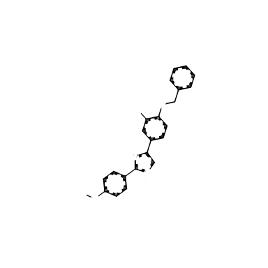 COc1ccc(-c2nc(-c3ccc(OCc4ccccc4)c(C)c3)c[nH]2)cc1